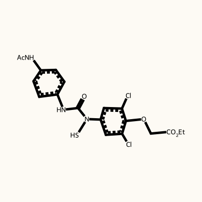 CCOC(=O)COc1c(Cl)cc(N(S)C(=O)Nc2ccc(NC(C)=O)cc2)cc1Cl